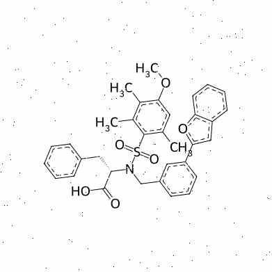 COc1cc(C)c(S(=O)(=O)N(Cc2cccc(-c3cc4ccccc4o3)c2)[C@@H](Cc2ccccc2)C(=O)O)c(C)c1C